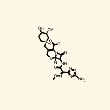 CO/N=C(\C(=O)NC1C(=O)N2C(C(=O)[O-])=C(C[N@+]3(C)CCC(O)[C@@H](O)C3)CS[C@@H]12)c1nsc(N)n1